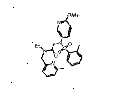 CCN(Cc1cccc(C)n1)C(=O)CN(c1ccc(OC)nc1)S(=O)(=O)c1ccccc1C